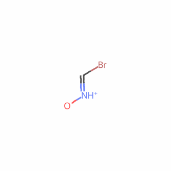 [O-][NH+]=CBr